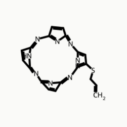 C=CCSc1cc2nc3nc(nc4ccc(nc5nc(nc1[nH]2)C=C5)[nH]4)C=C3